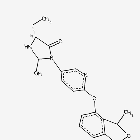 CC[C@H]1NC(O)N(c2ccc(Oc3cccc4c3C(C)OC4)nc2)C1=O